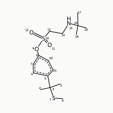 CSC(C)(C)c1ccc(OS(=O)(=O)CCNC(C)(C)C)cc1